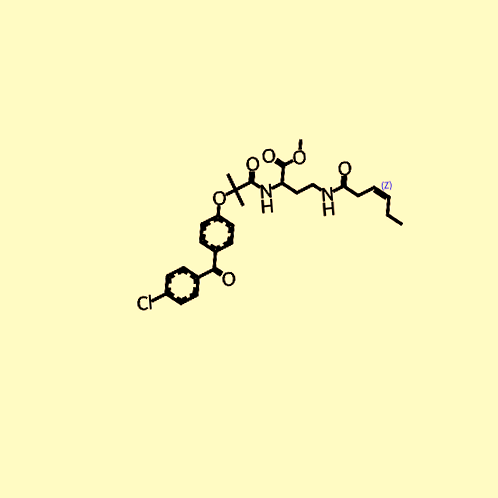 CC/C=C\CC(=O)NCCC(NC(=O)C(C)(C)Oc1ccc(C(=O)c2ccc(Cl)cc2)cc1)C(=O)OC